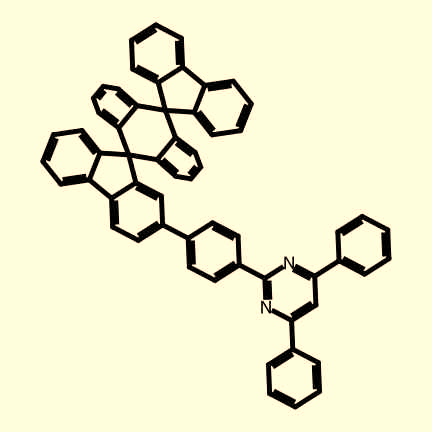 c1ccc(-c2cc(-c3ccccc3)nc(-c3ccc(-c4ccc5c(c4)C4(c6ccccc6-5)c5ccccc5C5(c6ccccc6-c6ccccc65)c5ccccc54)cc3)n2)cc1